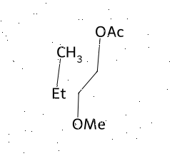 CCC.COCCOC(C)=O